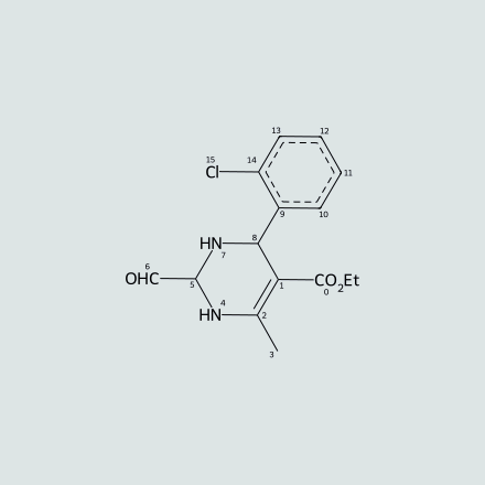 CCOC(=O)C1=C(C)NC(C=O)NC1c1ccccc1Cl